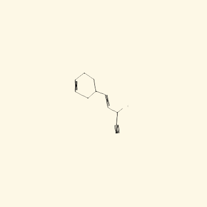 C#CC(O)C=CC1CC=CCC1